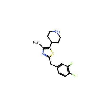 Cc1nc(Cc2ccc(F)c(F)c2)sc1C1CCNCC1